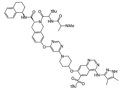 CNC(C)C(=O)NC(C(=O)N1Cc2cc(Oc3cc(N4CCC(Oc5cc6ncnc(Nc7n[nH]c(C)c7C)c6cc5S(=O)(=O)C(C)(C)C)CC4)ncn3)ccc2C[C@H]1C(=O)N[C@@H]1CCCc2ccccc21)C(C)(C)C